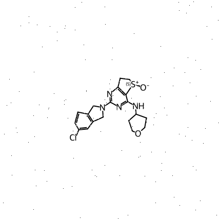 [O-][S@+]1CCc2nc(N3Cc4ccc(Cl)cc4C3)nc(NC3CCOCC3)c21